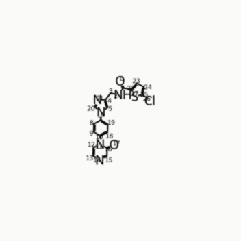 O=C(NCc1cn(-c2ccc(-n3ccncc3=O)cc2)cn1)c1ccc(Cl)s1